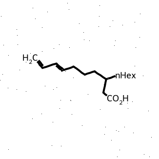 C=C/C=C/CCCC(CCCCCC)CC(=O)O